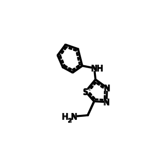 NCc1nnc(Nc2ccccc2)s1